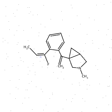 C=C(c1ccccc1/C(F)=C\C)C12CC1CN(C)C2